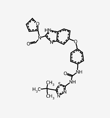 CC(C)(C)c1nnc(NC(=O)Nc2ccc(Oc3ccc4[nH]c(N(C=O)c5ccco5)nc4c3)cc2)s1